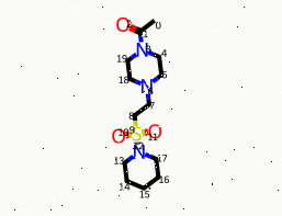 CC(=O)N1CCN(CCS(=O)(=O)N2CC[CH]CC2)CC1